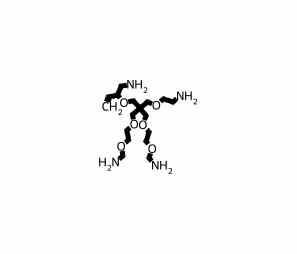 C=CC(CN)OCC(COCCN)(COCCOCN)COCCOCN